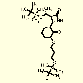 C[C@@H](O[Si](C)(C)C(C)(C)C)[C@H]1C(=O)N[C@@H]1[C@H]1CCC[C@H](OCCCO[Si](C)(C)C(C)(C)C)C1=O